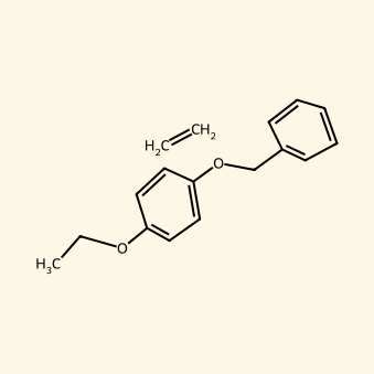 C=C.CCOc1ccc(OCc2ccccc2)cc1